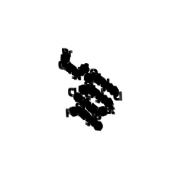 CC1CN(c2nc(Cc3ccc(Cl)cc3)ns2)CCN1C(=O)c1ccccc1F.CC1CN(c2nc(Cc3ccc(F)cc3)ns2)CCN1C(=O)c1ccccc1Cl.CCc1ccc(C(=O)N2CCN(c3nc(Cc4ccc(Cl)cc4)ns3)CC2)cc1.Cc1ccc(Cc2nsc(N3CCN(C(=O)c4ccc(Br)cc4)CC3)n2)cc1.O=C(c1ccc(F)cc1)N1CCN(c2nc(Cc3ccccc3)ns2)CC1